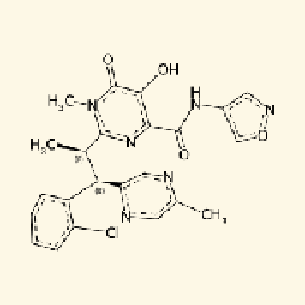 Cc1cnc([C@@H](c2ccccc2Cl)[C@@H](C)c2nc(C(=O)Nc3cnoc3)c(O)c(=O)n2C)cn1